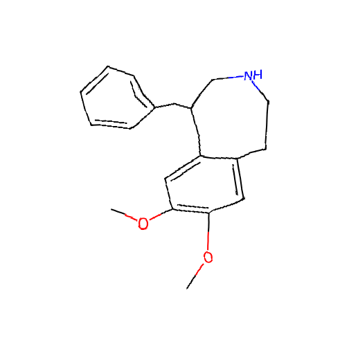 COc1cc2c(cc1OC)C(c1ccccc1)CNCC2